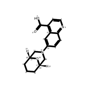 O=C(O)c1ccnc2ccc(N3C[C@H]4CCC[C@@H](C3)O4)cc12